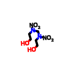 O=[N+]([O-])N(CCO)CN(CCO)[N+](=O)[O-]